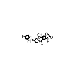 COc1cc2c(cc1C(=O)N1CCC(COc3ccc(F)cc3Cl)CC1)NC(=O)CO2